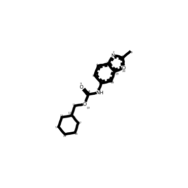 Cc1nc2ccc(NC(=O)OCC3CCCCC3)cc2o1